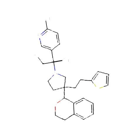 CCC(C)(c1ccc(C)nc1)N1CCC(CCc2cccs2)(C2OCCc3ccccc32)C1